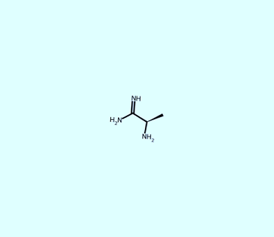 C[C@@H](N)C(=N)N